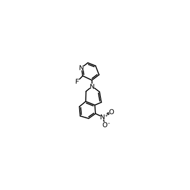 O=[N+]([O-])c1cccc2c1C=CN(c1cccnc1F)C2